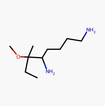 CCC(C)(OC)C(N)CCCCN